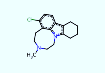 CN1CCc2c(Cl)ccc3c4c(n(c23)CC1)CCCC4